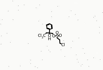 O=S(=O)(CCCCl)OCC(O)(CC(Cl)(Cl)Cl)c1ccccc1